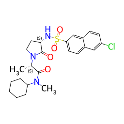 C[C@@H](C(=O)N(C)C1CCCCC1)N1CC[C@H](NS(=O)(=O)c2ccc3cc(Cl)ccc3c2)C1=O